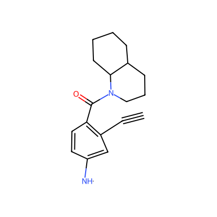 C#Cc1cc([NH])ccc1C(=O)N1CCCC2CCCCC21